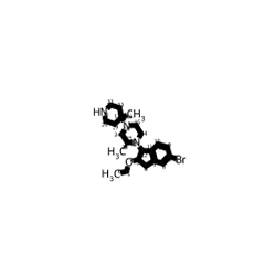 CCOC1Cc2cc(Br)ccc2C1N1CCN(C2(C)CCNCC2)C[C@@H]1C